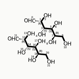 O=C[C@H](O)[C@@H](O)[C@@H](O)[C@H](O)CO.O=C[C@H](O)[C@@H](O)[C@@H](O)[C@H](O)CO